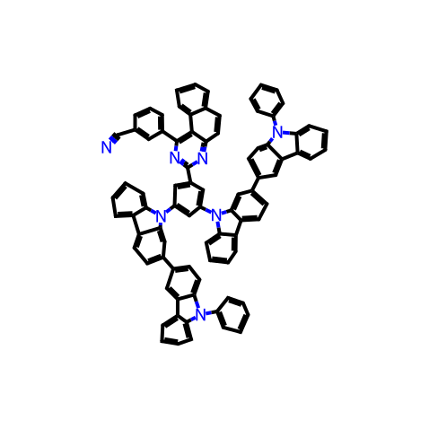 N#Cc1cccc(-c2nc(-c3cc(-n4c5ccccc5c5ccc(-c6ccc7c(c6)c6ccccc6n7-c6ccccc6)cc54)cc(-n4c5ccccc5c5ccc(-c6ccc7c(c6)c6ccccc6n7-c6ccccc6)cc54)c3)nc3ccc4ccccc4c23)c1